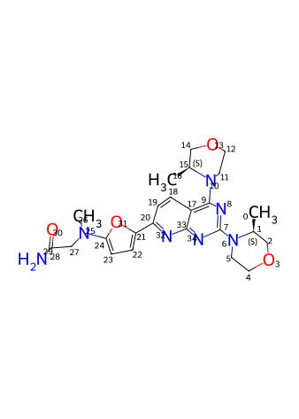 C[C@H]1COCCN1c1nc(N2CCOC[C@@H]2C)c2ccc(-c3ccc(N(C)CC(N)=O)o3)nc2n1